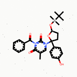 Cc1cn(C2(c3ccc(O)cc3)CCC(O[Si](C)(C)C(C)(C)C)O2)c(=O)n(C(=O)c2ccccc2)c1=O